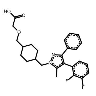 Cc1c(-c2cccc(F)c2F)c(-c2ccccc2)nn1CC1CCC(COCC(=O)O)CC1